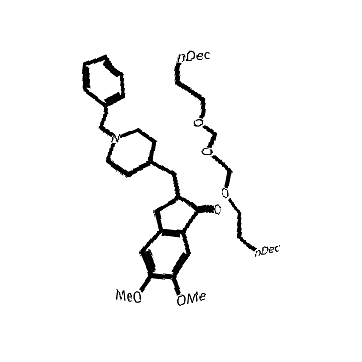 CCCCCCCCCCCCOCOCOCCCCCCCCCCCC.COc1cc2c(cc1OC)C(=O)C(CC1CCN(Cc3ccccc3)CC1)C2